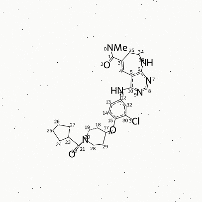 CNC(=O)C1=Cc2c(ncnc2Nc2ccc(OC3CCN(C(=O)C4CCCC4)CC3)c(Cl)c2)NCC1